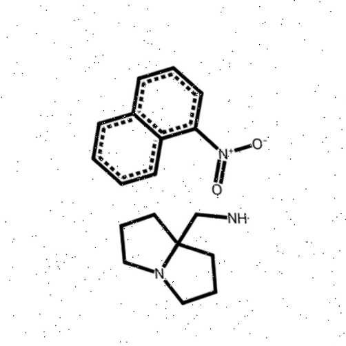 O=[N+]([O-])c1cccc2ccccc12.[NH]CC12CCCN1CCC2